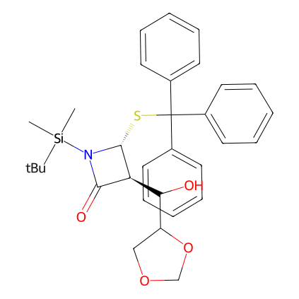 CC(C)(C)[Si](C)(C)N1C(=O)[C@H](C(O)C2COCO2)[C@H]1SC(c1ccccc1)(c1ccccc1)c1ccccc1